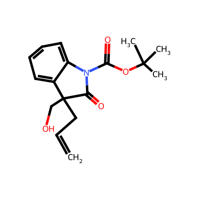 C=CCC1(CO)C(=O)N(C(=O)OC(C)(C)C)c2ccccc21